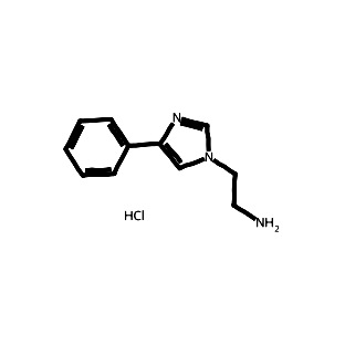 Cl.NCCn1cnc(-c2ccccc2)c1